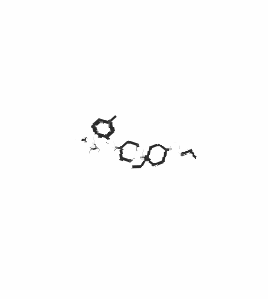 CCCOC1CCC(CC)(N2CCC(Nc3cc(C)ccc3[N+](=O)[O-])CC2)CC1